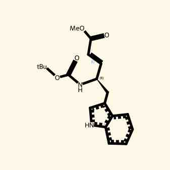 COC(=O)/C=C/[C@@H](Cc1c[nH]c2ccccc12)NC(=O)OC(C)(C)C